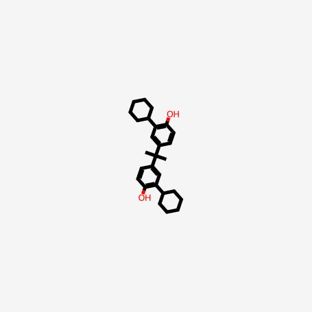 CC(C)(c1ccc(O)c(C2CCCCC2)c1)c1ccc(O)c(C2CCCCC2)c1